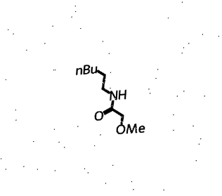 CCCCCCNC(=O)COC